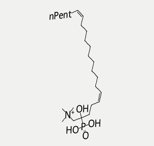 CCCCC/C=C\CCCCCCCCC/C=C\CCC(O)(C[N+](C)(C)C)P(=O)(O)O